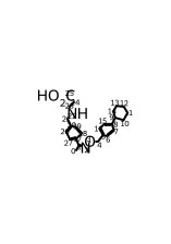 CC(=NOCc1ccc(C2CCCCC2)cc1)c1ccc(CNCCC(=O)O)cc1